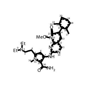 CCN(CC)CCc1cc(Nc2ncc3cc(-c4c(C)cccc4C)c(=O)n(OC)c3n2)c(C(N)=O)n1C